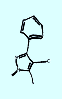 Cc1c(Cl)c(-c2ccccc2)nn1C